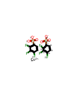 O=S(=O)([O-])c1ccc(F)c(F)c1F.O=S(=O)([O-])c1ccc(F)c(F)c1F.[Cu+2]